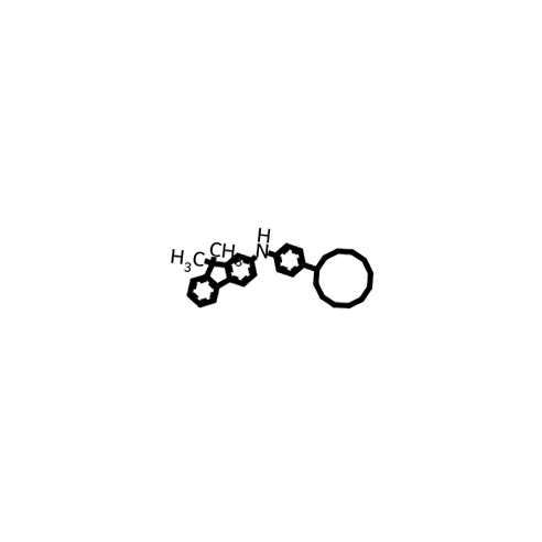 CC1(C)c2ccccc2-c2ccc(Nc3ccc(C4CCCCCCCCCCC4)cc3)cc21